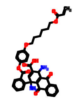 C=CC(=O)OCCCCCCOc1ccc(OC(=O)c2ccccc2C2(N)C=C(C(=O)O)C(N)C3=C2C(=O)c2ccccc2C3=O)cc1